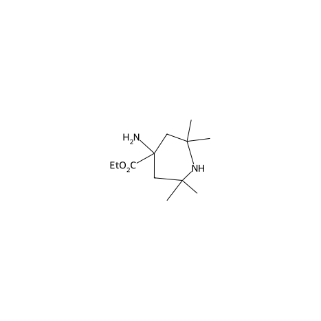 CCOC(=O)C1(N)CC(C)(C)NC(C)(C)C1